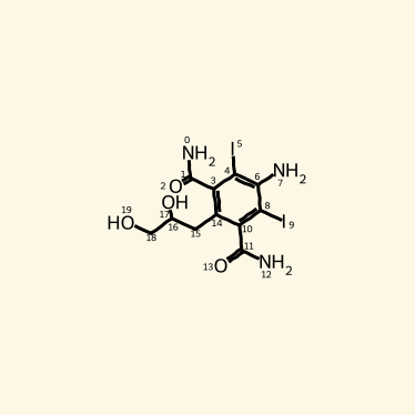 NC(=O)c1c(I)c(N)c(I)c(C(N)=O)c1CC(O)CO